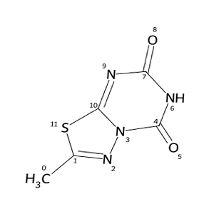 Cc1nn2c(=O)[nH]c(=O)nc2s1